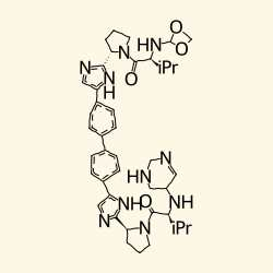 CC(C)[C@H](NC1C=NCNC1)C(=O)N1CCC[C@H]1c1ncc(-c2ccc(-c3ccc(-c4cnc([C@@H]5CCCN5C(=O)[C@@H](NC5OCO5)C(C)C)[nH]4)cc3)cc2)[nH]1